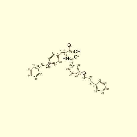 O=C(N[C@@H](Cc1ccc(OCc2ccccc2)cc1)C(=O)O)c1cccc(OCCCc2ccccc2)c1